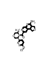 CCOc1ccc([C@H]2COC[C@@H](C)N2C(=O)c2cc3c4c(c(N)nc3cn2)COC4)nn1